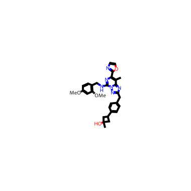 COc1ccc(CNc2nc(-c3ncco3)c(C)c3nc(Cc4ccc(C5CC(C)(O)C5)cc4)nn23)c(OC)c1